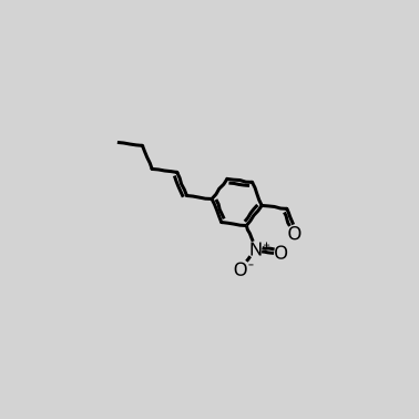 CCC/C=C/c1ccc(C=O)c([N+](=O)[O-])c1